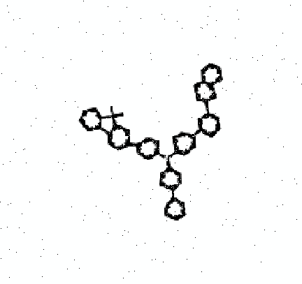 CC1(C)c2ccccc2-c2ccc(-c3ccc(N(c4ccc(-c5ccccc5)cc4)c4ccc(-c5cccc(-c6ccc7ccccc7c6)c5)cc4)cc3)cc21